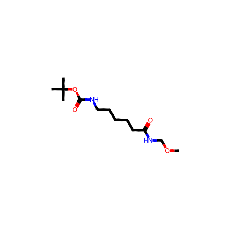 COCNC(=O)CCCC[CH]NC(=O)OC(C)(C)C